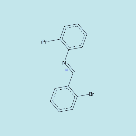 CC(C)c1ccccc1/N=C/c1ccccc1Br